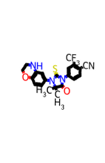 CC1(C)C(=O)N(c2ccc(C#N)c(C(F)(F)F)c2)C(=S)N1c1ccc2c(c1)NCCO2